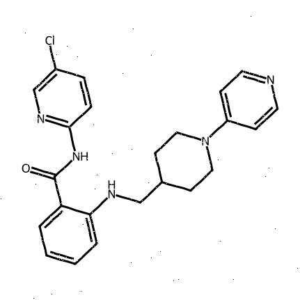 O=C(Nc1ccc(Cl)cn1)c1ccccc1NCC1CCN(c2ccncc2)CC1